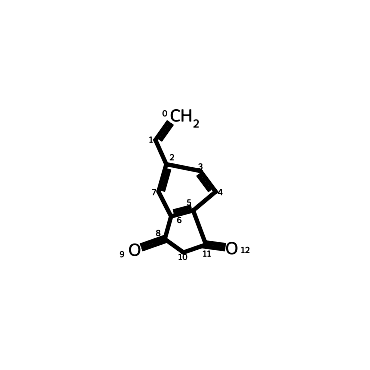 C=Cc1ccc2c(c1)C(=O)CC2=O